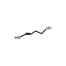 CCCCC/C=C/[NH]